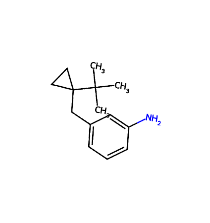 CC(C)(C)C1(Cc2cccc(N)c2)CC1